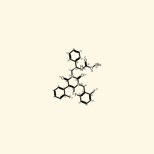 Cc1c(-c2ccccc2F)c(=O)n(C[C@H](NC(=O)OC(C)(C)C)c2ccccc2)c(=O)n1Cc1c(F)cccc1F